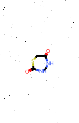 O=C1[CH]SC(=O)NCN1